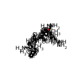 COc1c(N(C(C)=O)[C@@H](CCCCN)C(=O)N2CCC[C@H]2C(=O)N[C@@H](CC(C)C)C(=O)NCC(=O)N[C@@H](CC(C)C)C(=O)c2ccc(N(C(=O)CC(N)N)[C@@H](C)C(=O)N[C@@H](CCCNC(=N)N)C(N)=O)c([N+](=O)[O-])c2[N+](=O)[O-])c(=O)oc2ccccc12